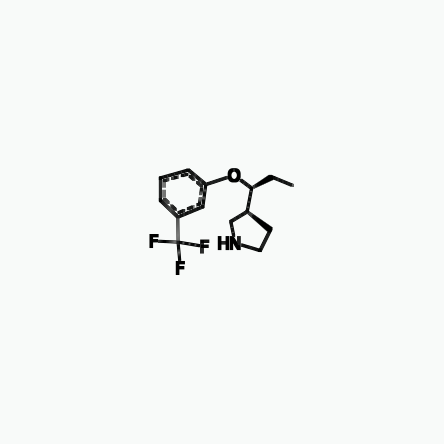 CC[C@H](Oc1cccc(C(F)(F)F)c1)[C@H]1CCNC1